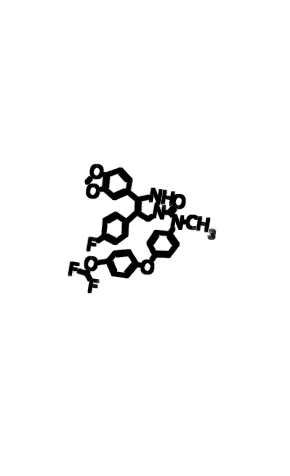 CN(C(=O)N1CC(c2ccc(F)cc2)=C(c2ccc3c(c2)OCO3)N1)c1ccc(Oc2ccc(OC(F)F)cc2)cc1